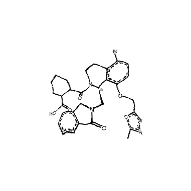 Cc1nnc(COc2ccc(Br)c3c2[C@@H](CN2Cc4ccccc4C2=O)N(C(=O)C2CCCCC2C(=O)O)CC3)o1